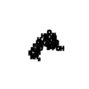 Nc1nc2c(nnn2[C@@H]2O[C@H](CO)[C@@H](F)[C@H]2OP(O)(=S)OCC[C@H]2O[C@@H](n3nnc4c(N)ncnc43)[C@@H](F)[C@@H]2O)c(=O)[nH]1